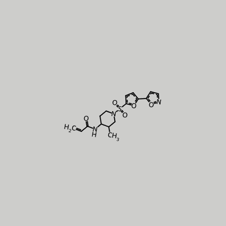 C=CC(=O)NC1CCN(S(=O)(=O)c2ccc(-c3ccno3)o2)CC1C